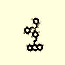 C(=Cc1c2ccccc2cc2ccccc12)c1ccc(N(Cc2ccccc2)Cc2ccccc2)cc1